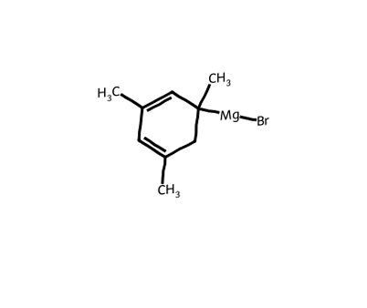 CC1=C[C](C)([Mg][Br])CC(C)=C1